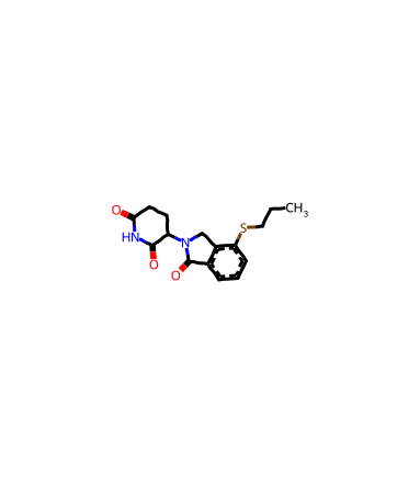 CCCSc1cccc2c1CN(C1CCC(=O)NC1=O)C2=O